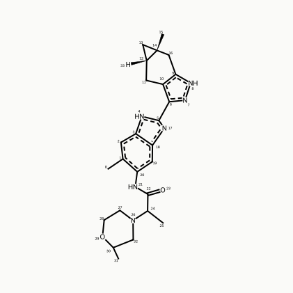 Cc1cc2[nH]c(-c3n[nH]c4c3C[C@@H]3C[C@]3(C)C4)nc2cc1NC(=O)C(C)N1CCOC(C)C1